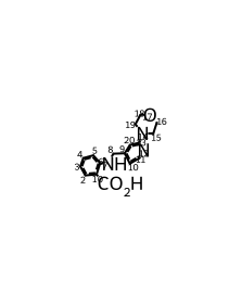 O=C(O)c1ccccc1NCc1ccnc(N2CCOCC2)c1